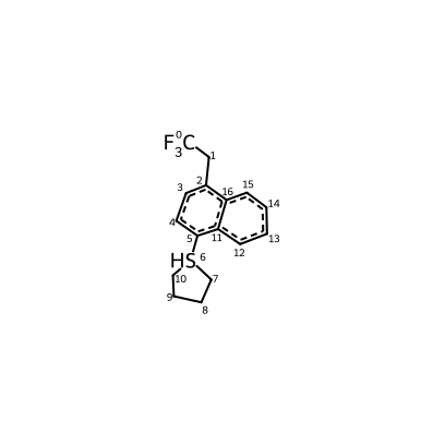 FC(F)(F)Cc1ccc([SH]2CCCC2)c2ccccc12